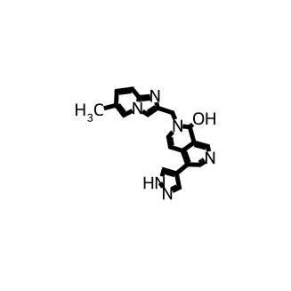 Cc1ccc2nc(CN3C=Cc4c(-c5cn[nH]c5)cncc4C3O)cn2c1